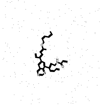 C=C/C=C\C(=C/CNC(=O)C=C)c1cc(/C(C=C)=C/C=C(\C)OC/C=C\C=C/C)cc2cncnc12